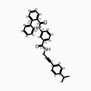 CC(C)c1ccc(C#CCNC(=O)c2cccc(NC(=O)c3ccccc3-c3ccccc3)c2)cc1